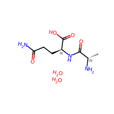 C[C@H](N)C(=O)N[C@@H](CCC(N)=O)C(=O)O.O.O